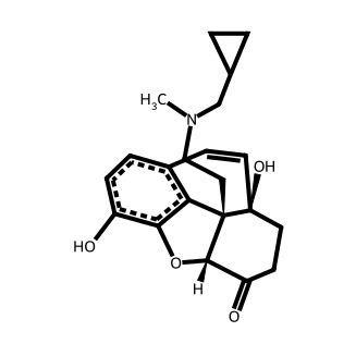 CN(CC[C@]12c3c4ccc(O)c3O[C@H]1C(=O)CC[C@@]2(O)C=C4)CC1CC1